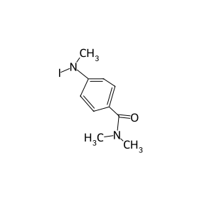 CN(C)C(=O)c1ccc(N(C)I)cc1